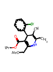 COCC1=C(C(=O)OC(C)C)C(c2ccccc2Br)C(C#N)=C(C)N1